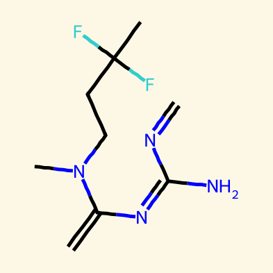 C=N/C(N)=N\C(=C)N(C)CCC(C)(F)F